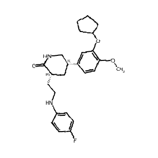 COc1ccc([C@H]2CNC(=O)[C@@H](CCNc3ccc(F)cc3)C2)cc1OC1CCCC1